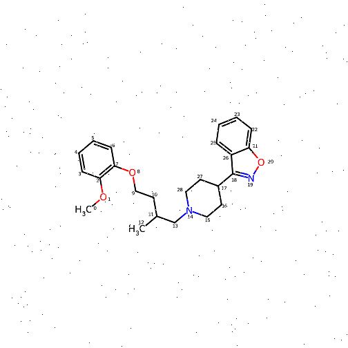 COc1ccc[c]c1OCCC(C)CN1CCC(c2noc3ccccc23)CC1